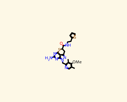 COc1c(C)cnc(Cn2nc3c4c(nc(N)nc42)SC(C(=O)NCCc2cccs2)C3)c1C